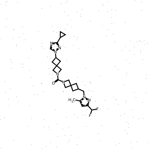 Cc1cc(C(F)F)nn1CC1CC2(C1)CN(C(=O)N1CC3(CC(n4cnc(C5CC5)n4)C3)C1)C2